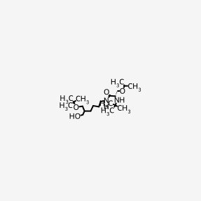 CC(C)OC[C@H](NC(C)(C)C)C(=O)NCCCCC(CO)COC(C)(C)C